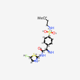 COCCNS(=O)(=O)c1ccc(C(=N)C(=O)Nc2ncc(F)s2)cc1